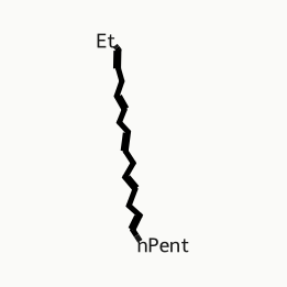 CCC=CCC=CCC=CCC=CCC=CCCCCC